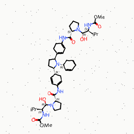 COC(=O)N[C@@H](C(C)C)[C@@H](O)N1CCC[C@H]1C(=O)NC1=CC[C@@H](C2CCC(C3=CC=C(NC(=O)[C@@H]4CCCN4[C@@H](O)[C@@H](NC(=O)OC)C(C)C)CC3)N2[C@H]2C=CCCC2)C=C1